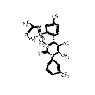 [C-]#[N+]C1=C(C)N(c2cccc(C(F)(F)F)c2)C(=O)N(C)[C@@H]1c1ccc(C#N)cc1[S@](C)(=O)=NC(=O)C(F)(F)F